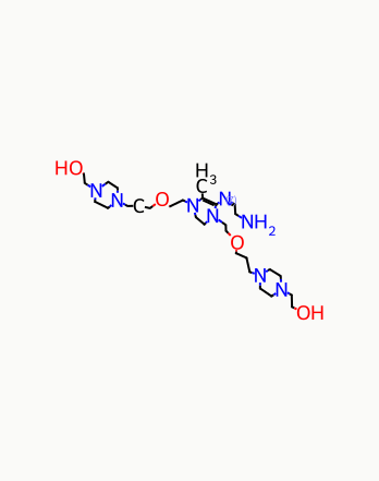 CC1=C(/N=C\CN)N(CCOCCCN2CCN(CCO)CC2)CCN1CCOCCCN1CCN(CCO)CC1